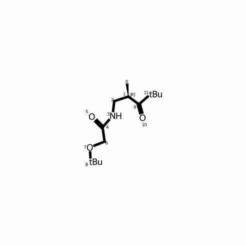 C[C@H](CNC(=O)COC(C)(C)C)C(=O)C(C)(C)C